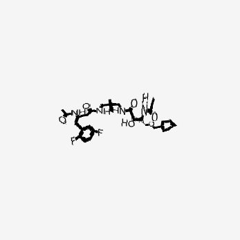 CC(=O)NC(CC(=O)NCC(C)(C)CNC(=O)[C@@H](O)[C@@H](COCc1ccccc1)NC(C)=O)Cc1cc(F)ccc1F